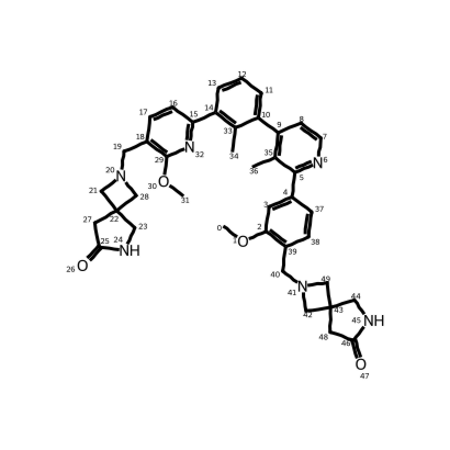 COc1cc(-c2nccc(-c3cccc(-c4ccc(CN5CC6(CNC(=O)C6)C5)c(OC)n4)c3C)c2C)ccc1CN1CC2(CNC(=O)C2)C1